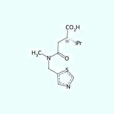 CC(C)[C@H](CC(=O)N(C)Cc1cncs1)C(=O)O